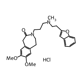 COc1cc2c(cc1OC)CC(=O)N(CCCN(C)CCc1cc3ccccc3o1)CC2.Cl